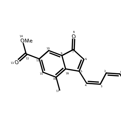 C/C=C\C=C/C1=CC(=O)c2cc(C(=O)OC)cc(C)c21